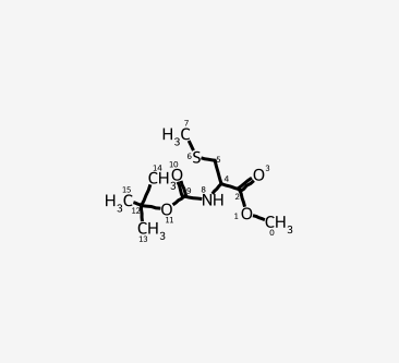 COC(=O)C(CSC)NC(=O)OC(C)(C)C